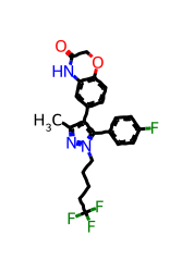 Cc1nn(CCCCC(F)(F)F)c(-c2ccc(F)cc2)c1-c1ccc2c(c1)NC(=O)CO2